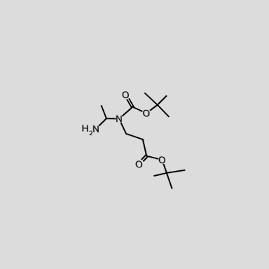 CC(N)N(CCC(=O)OC(C)(C)C)C(=O)OC(C)(C)C